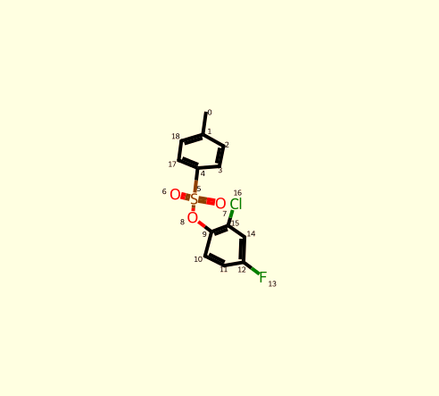 Cc1ccc(S(=O)(=O)Oc2ccc(F)cc2Cl)cc1